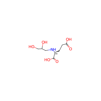 O=C(O)CC[C@H](NCC(O)CO)C(=O)O